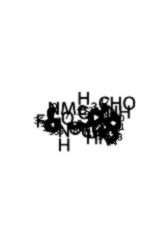 CNCc1cc(NC(=O)OC[C@H](C)c2ccc(C(C=O)Nc3ccc4cc[nH]c(=O)c4c3)cc2C)ccc1F